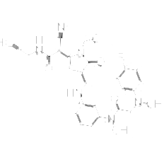 C#CCNC(=O)C(C#N)=c1sc(=CNc2cccc(N(C)C(=O)CN(C)c3ccc(F)cc3)c2)c(=O)n1CC